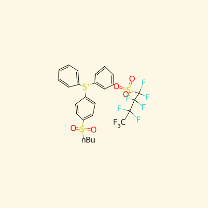 CCCCS(=O)(=O)c1ccc([S+](c2ccccc2)c2ccccc2)cc1.O=S(=O)([O-])C(F)(F)C(F)(F)C(F)(F)C(F)(F)F